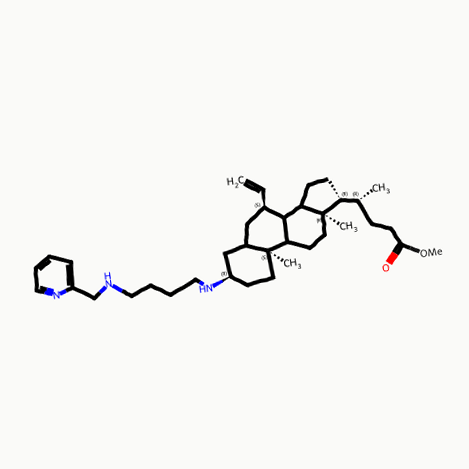 C=C[C@@H]1CC2C[C@H](NCCCCNCc3ccccn3)CC[C@]2(C)C2CC[C@@]3(C)C(CC[C@@H]3[C@H](C)CCC(=O)OC)C21